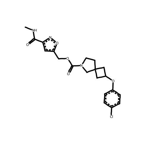 CNC(=O)c1cc(COC(=O)N2CCC3(CC(Oc4ccc(Cl)cc4)C3)C2)on1